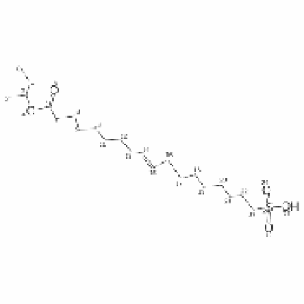 CCC(C)OC(=O)CCCCCCC/C=C/CCCCCCCCS(=O)(=O)O